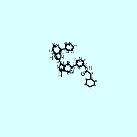 O=C(CC1CCCCC1)Nc1cncc(-c2cc3c(-c4nc5c(-c6cccnc6)nccc5[nH]4)n[nH]c3cn2)c1